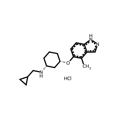 Cc1c(O[C@H]2CCC[C@@H](NCC3CC3)C2)ccc2[nH]ncc12.Cl